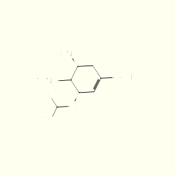 CCOC(=O)C1=C[C@@H](OC(CC)CC)C(NC(C)=O)[C@@H](N)C1